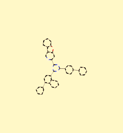 c1ccc(-c2ccc(-c3nc(-c4cc5oc6ccccc6c5cn4)nc(-c4ccc(-c5ccccc5)c5ccccc45)n3)cc2)cc1